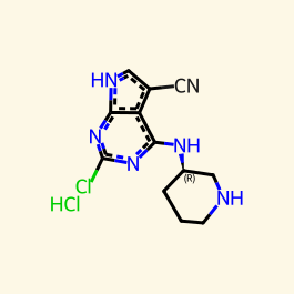 Cl.N#Cc1c[nH]c2nc(Cl)nc(N[C@@H]3CCCNC3)c12